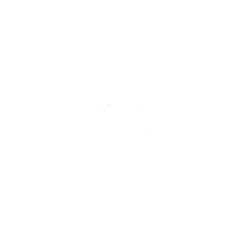 COC(=O)C(O)(CC(=O)C(C)C)C(F)(F)F